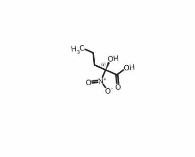 CCC[C@](O)(C(=O)O)[N+](=O)[O-]